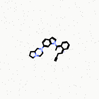 C#CC/C=c1/cccc/c1=C(/C)n1ccc2ccc(N3CCN4CCCC4C3)cc21